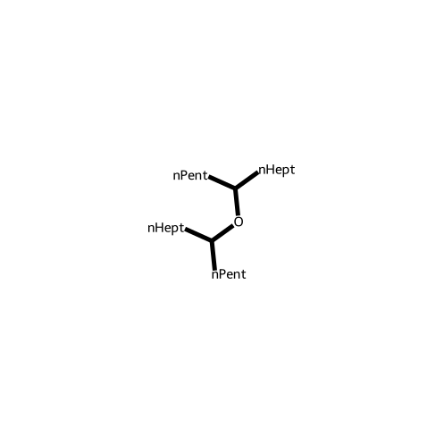 CCCCCCCC(CCCCC)OC(CCCCC)CCCCCCC